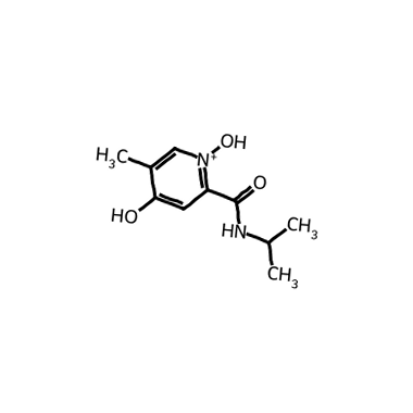 Cc1c[n+](O)c(C(=O)NC(C)C)cc1O